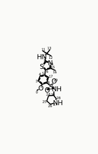 COc1ccc(-c2sc(NC(C)(C)C)nc2C)cc1S(=O)(=O)NC1CCCNC1